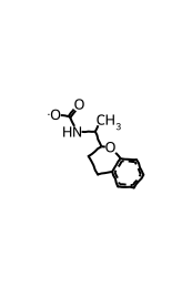 CC(NC([O])=O)C1CCc2ccccc2O1